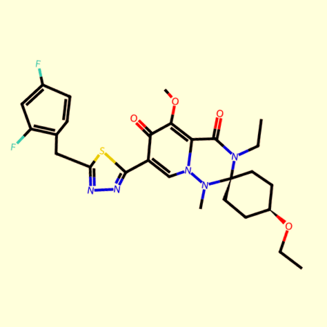 CCO[C@H]1CC[C@]2(CC1)N(CC)C(=O)c1c(OC)c(=O)c(-c3nnc(Cc4ccc(F)cc4F)s3)cn1N2C